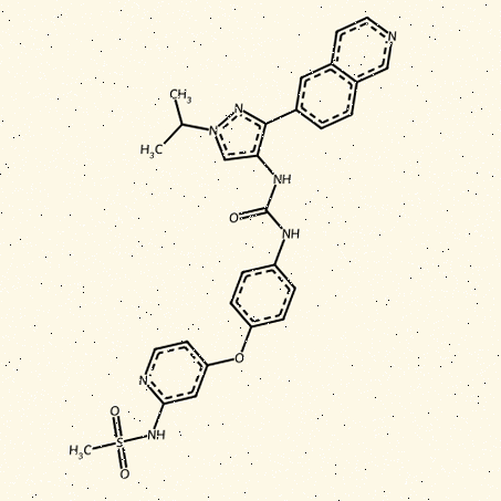 CC(C)n1cc(NC(=O)Nc2ccc(Oc3ccnc(NS(C)(=O)=O)c3)cc2)c(-c2ccc3cnccc3c2)n1